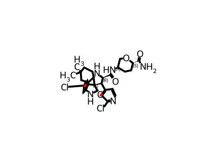 CC1(C)CCC2(CC1)N[C@@H](C(=O)N[C@@H]1CC[C@@H](C(N)=O)OC1)C(c1ccnc(Cl)c1)[C@]21C(=O)Nc2cc(Cl)ccc21